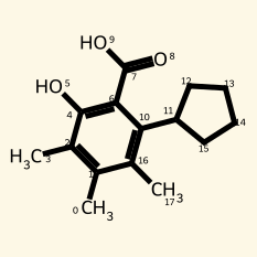 Cc1c(C)c(O)c(C(=O)O)c(C2CCCC2)c1C